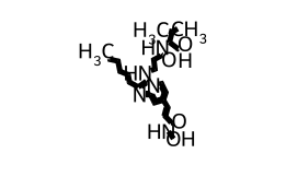 CCCCCCc1nc2cc(C=CC(=O)NO)ccn2c1NCCC(=O)NC(CO)C(C)C